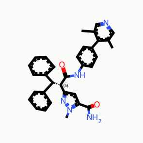 Cc1cncc(C)c1-c1ccc(NC(=O)[C@H](c2cc(C(N)=O)n(C)n2)C(c2ccccc2)c2ccccc2)cc1